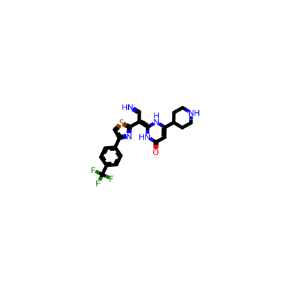 N=C/C(=C1/NC(=O)C=C(C2CCNCC2)N1)c1nc(-c2ccc(C(F)(F)F)cc2)cs1